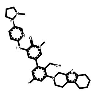 CN1CCC[C@@H]1c1ccc(Nc2cc(-c3cc(F)cc(N4CCc5c(sc6c5CCCC6)C4)c3CO)cn(C)c2=O)nc1